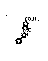 O=C(O)N1CC2CN(c3ncc(-c4ccccc4)s3)C(=O)C2C1